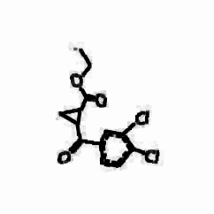 [CH2]COC(=O)C1CC1C(=O)c1ccc(Cl)c(Cl)c1